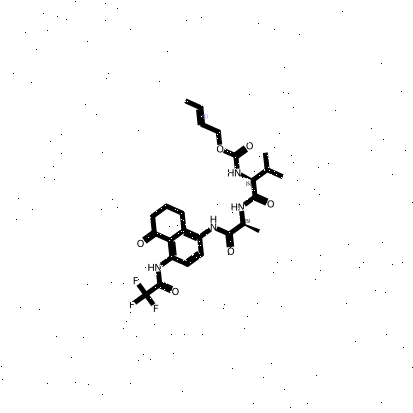 C/C=C/COC(=O)N[C@H](C(=O)N[C@@H](C)C(=O)Nc1ccc(NC(=O)C(F)(F)F)c2c1CCCC2=O)C(C)C